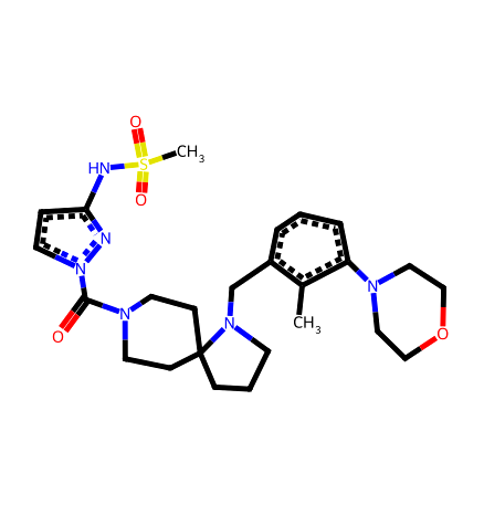 Cc1c(CN2CCCC23CCN(C(=O)n2ccc(NS(C)(=O)=O)n2)CC3)cccc1N1CCOCC1